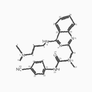 CN(C)CCCNc1nc(CN(C)C(=O)Nc2ccc(C#N)cc2)nc2ccccc12